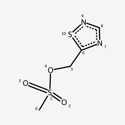 CS(=O)(=O)OCc1ncns1